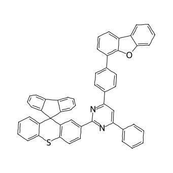 c1ccc(-c2cc(-c3ccc(-c4cccc5c4oc4ccccc45)cc3)nc(-c3ccc4c(c3)C3(c5ccccc5S4)c4ccccc4-c4ccccc43)n2)cc1